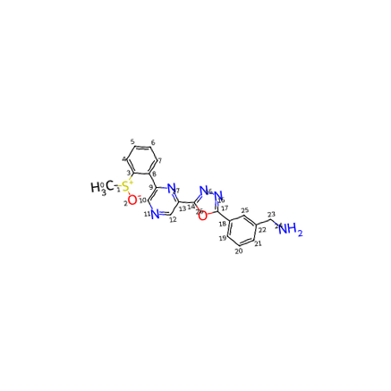 C[S+]([O-])c1ccccc1-c1cncc(-c2nnc(-c3cccc(CN)c3)o2)n1